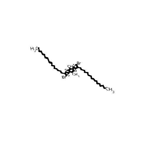 CCCCCCCCCCCCCCCCCc1c(Br)sc2c1sc1c(C)c3c(sc4c(CCCCCCCCCCCCCCCCC)c(Br)sc43)c(C)c12